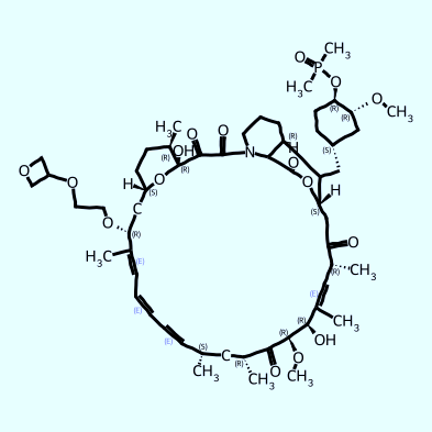 CO[C@@H]1C[C@H](CC2[C@H]3CCCN4C(=O)C(=O)[C@]5(O)O[C@@H](CC[C@H]5C)C[C@@H](OCCOC5COC5)/C(C)=C/C=C/C=C/[C@@H](C)C[C@@H](C)C(=O)[C@H](OC)[C@H](O)/C(C)=C/[C@@H](C)C(=O)C[C@@H]2OC(=O)C34)CC[C@H]1OP(C)(C)=O